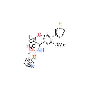 COc1cc2c(cc1-c1cccc(F)c1)OCC(C)(C)C2NC(=O)O[C@H]1CN2CCC1CC2